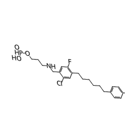 O=[PH](O)OCCCNCc1cc(F)c(CCCCCCc2ccc(F)cc2)cc1Cl